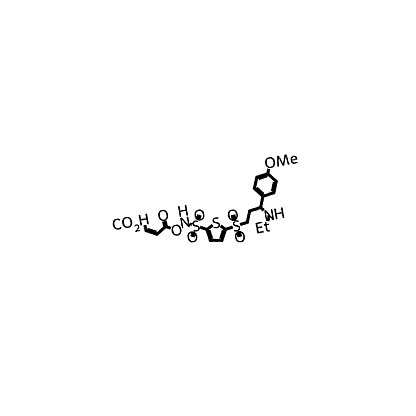 CCNC(CCS(=O)(=O)c1ccc(S(=O)(=O)NOC(=O)/C=C\C(=O)O)s1)c1ccc(OC)cc1